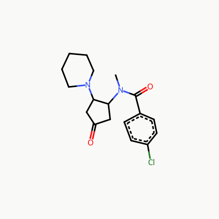 CN(C(=O)c1ccc(Cl)cc1)C1CC(=O)CC1N1CCCCC1